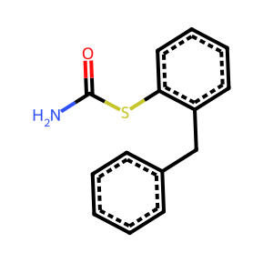 NC(=O)Sc1ccccc1Cc1ccccc1